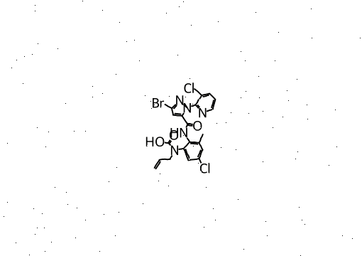 C=CCN(C(=O)O)c1cc(Cl)cc(C)c1NC(=O)c1cc(Br)nn1-c1ncccc1Cl